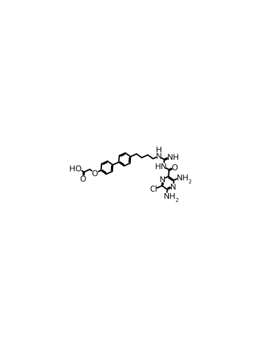 N=C(NCCCCc1ccc(-c2ccc(OCC(=O)O)cc2)cc1)NC(=O)c1nc(Cl)c(N)nc1N